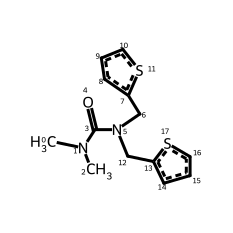 CN(C)C(=O)N(Cc1cccs1)Cc1cccs1